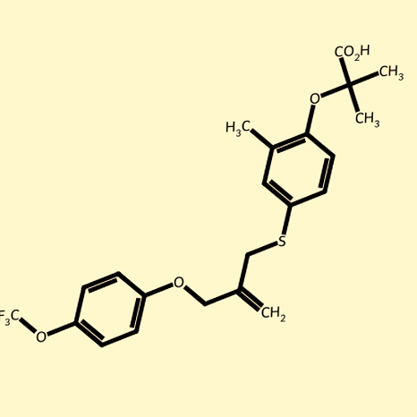 C=C(COc1ccc(OC(F)(F)F)cc1)CSc1ccc(OC(C)(C)C(=O)O)c(C)c1